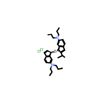 CCCN(CCC)c1ccc2c(c1)[CH]([Zr+2][CH]1C(C(C)C)=Cc3ccc(N(CCC)CCC)cc31)C=C2.[Cl-].[Cl-]